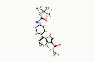 C/C=C(\c1scc(C(=O)OC)c1C)[C@H]1CC[C@H](NC(=O)OC(C)(C)C)CC1